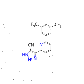 N#Cc1[nH]nnc1-c1cccc(-c2cc(C(F)(F)F)cc(C(F)(F)F)c2)n1